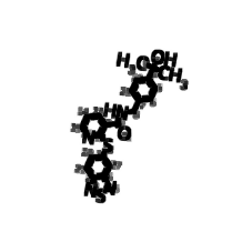 CC(C)(O)c1ccc(CNC(=O)c2cccnc2Sc2ccc3nsnc3c2)cc1